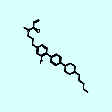 C=CC(=O)N(C)CCCc1ccc(-c2ccc(C3CCC(CCCCC)CC3)cc2)c(F)c1